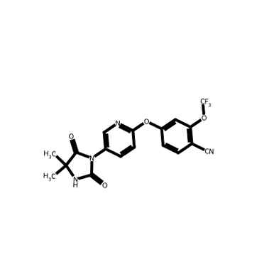 CC1(C)NC(=O)N(c2ccc(Oc3ccc(C#N)c(OC(F)(F)F)c3)nc2)C1=O